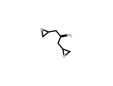 C=C(CC1CO1)CC1CO1